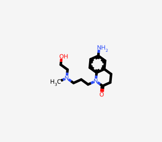 CN(CCO)CCCN1C(=O)CCc2cc(N)ccc21